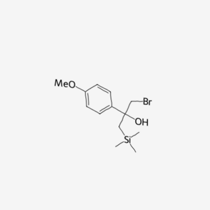 COc1ccc(C(O)(CBr)C[Si](C)(C)C)cc1